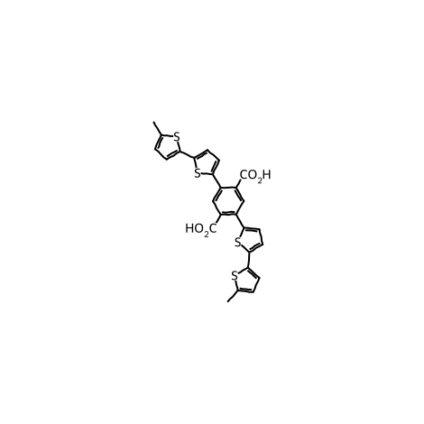 Cc1ccc(-c2ccc(-c3cc(C(=O)O)c(-c4ccc(-c5ccc(C)s5)s4)cc3C(=O)O)s2)s1